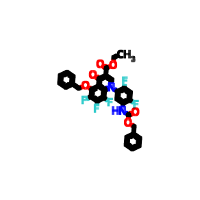 CCOC(=O)c1cn(-c2cc(NC(=O)OCc3ccccc3)c(F)cc2F)c2c(F)c(F)c(F)c(OCc3ccccc3)c2c1=O